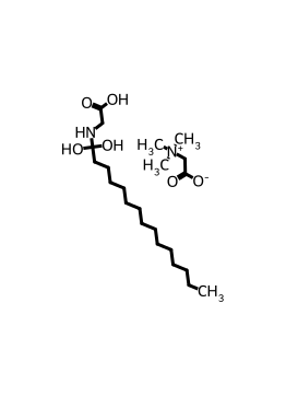 CCCCCCCCCCCCCCC(O)(O)NCC(=O)O.C[N+](C)(C)CC(=O)[O-]